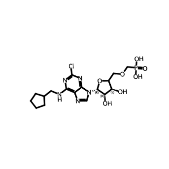 O=P(O)(O)COCC1O[C@@H](n2cnc3c(NCC4CCCC4)nc(Cl)nc32)[C@H](O)[C@@H]1O